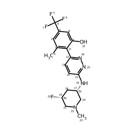 Cc1cc(C(F)(F)F)cc(O)c1-c1ccc(N[C@H]2C[C@@H](F)CN(C)C2)nn1